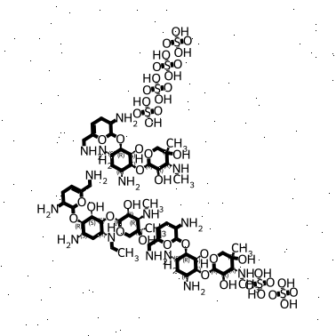 CCN[C@@H]1C[C@H](N)[C@@H](OC2OC(CN)=CCC2N)[C@H](O)[C@H]1O[C@H]1OC[C@](C)(O)[C@H](NC)[C@H]1O.CN[C@@H]1[C@@H](O)[C@@H](O[C@@H]2[C@@H](O)[C@H](OC3OC(CN)=CCC3N)[C@@H](N)C[C@H]2N)OC[C@]1(C)O.CN[C@@H]1[C@@H](O)[C@@H](O[C@@H]2[C@@H](O)[C@H](OC3OC(CN)=CCC3N)[C@@H](N)C[C@H]2N)OC[C@]1(C)O.O=S(=O)(O)O.O=S(=O)(O)O.O=S(=O)(O)O.O=S(=O)(O)O.O=S(=O)(O)O.O=S(=O)(O)O